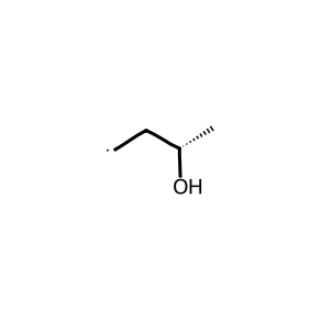 [CH2]C[C@H](C)O